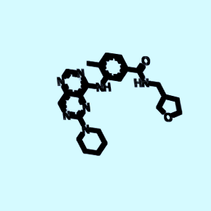 Cc1ccc(C(=O)NCC2CCOC2)cc1Nc1ncnc2cnc(N3CCCCC3)nc12